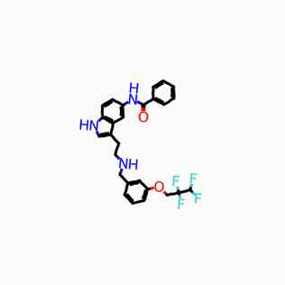 O=C(Nc1ccc2[nH]cc(CCNCc3cccc(OCC(F)(F)C(F)F)c3)c2c1)c1ccccc1